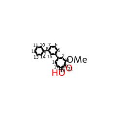 COc1cc(-c2cccc(-c3ccccc3)c2)ccc(O)c1=O